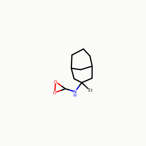 CCC1(NC2OO2)CC2CCCC(C2)C1